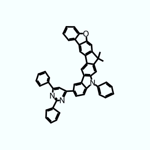 CC1(C)c2cc3oc4ccccc4c3cc2-c2cc3c4cc(-c5cc(-c6ccccc6)nc(-c6ccccc6)n5)ccc4n(-c4ccccc4)c3cc21